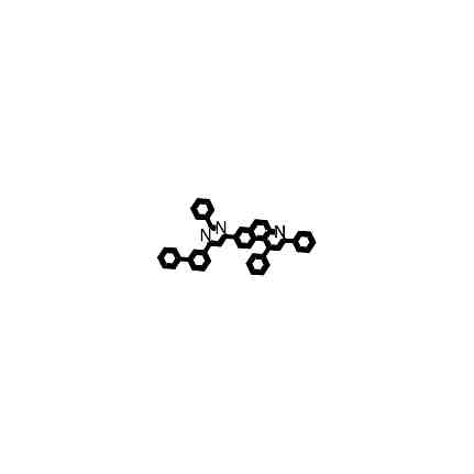 c1ccc(-c2cccc(-c3cc(-c4ccc5c(ccc6nc(-c7ccccc7)cc(-c7ccccc7)c65)c4)nc(-c4ccccc4)n3)c2)cc1